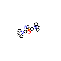 CC1(C)c2ccccc2N(c2ccc(P(=O)(c3ccc(N4c5ccccc5C(C)(C)c5ccccc54)cc3)c3cccnc3)cc2)c2ccccc21